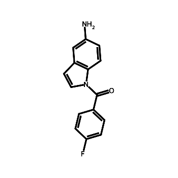 Nc1ccc2c(ccn2C(=O)c2ccc(F)cc2)c1